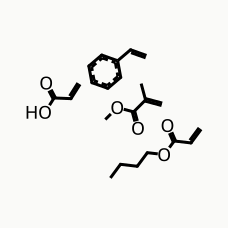 C=C(C)C(=O)OC.C=CC(=O)O.C=CC(=O)OCCCC.C=Cc1ccccc1